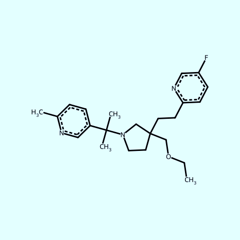 CCOCC1(CCc2ccc(F)cn2)CCN(C(C)(C)c2ccc(C)nc2)C1